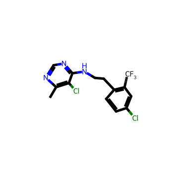 Cc1ncnc(NCCc2ccc(Cl)cc2C(F)(F)F)c1Cl